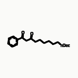 CCCCCCCCCCCCCCCCC(=O)CC(=O)c1ccccc1